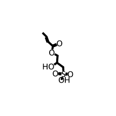 CC=CC(=O)OCC(O)CS(=O)(=O)O